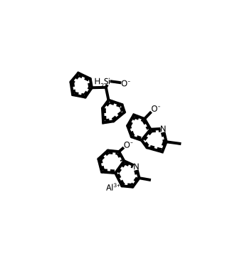 Cc1ccc2cccc([O-])c2n1.Cc1ccc2cccc([O-])c2n1.[Al+3].[O-][SiH2]C(c1ccccc1)c1ccccc1